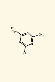 Cc1nc(C)nc(C)n1.[H+]